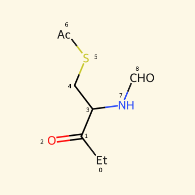 CCC(=O)C(CSC(C)=O)NC=O